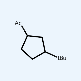 CC(=O)C1CCC(C(C)(C)C)C1